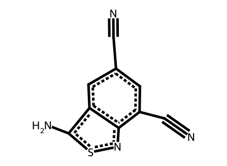 N#Cc1cc(C#N)c2nsc(N)c2c1